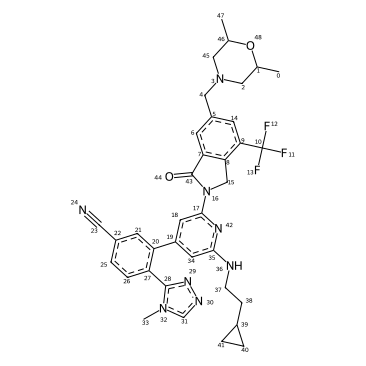 CC1CN(Cc2cc3c(c(C(F)(F)F)c2)CN(c2cc(-c4cc(C#N)ccc4-c4nncn4C)cc(NCCC4CC4)n2)C3=O)CC(C)O1